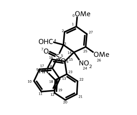 COC1=CC(C=O)(S(=O)(=O)c2ccccc2)C(c2c[nH]c3ccccc23)([N+](=O)[O-])C(OC)=C1